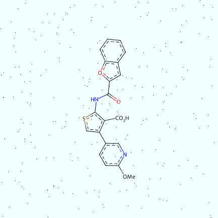 COc1ccc(-c2csc(NC(=O)c3cc4ccccc4o3)c2C(=O)O)cn1